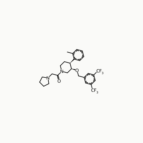 Cc1ccccc1[C@@H]1CCN(C(=O)CN2CCCC2)C[C@@H]1OCc1cc(C(F)(F)F)cc(C(F)(F)F)c1